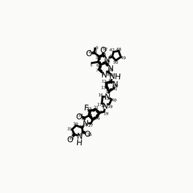 CC(=O)c1c(C)c2cnc(Nc3ccc(N4CCN(Cc5cc(F)c6c(c5)CN(C5CCC(=O)NC5=O)C6=O)CC4)cn3)nc2n(C2CCCC2)c1=O